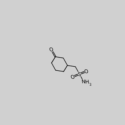 NS(=O)(=O)CC1CCCC(=O)C1